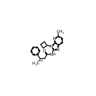 Cc1ccc2nc(NC(=O)C[C@@H](C)c3ccccc3)n(C3CCC3)c2n1